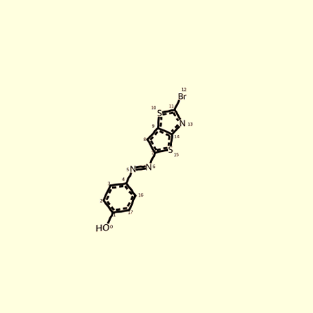 Oc1ccc(N=Nc2cc3sc(Br)nc3s2)cc1